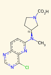 CN(c1ccc2ncnc(Cl)c2n1)[C@H]1CCN(C(=O)O)C1